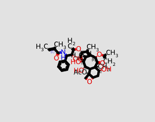 C=C(C)O[C@H]1C(=O)[C@@]2(C)C([C@H](O)[C@]3(O)C[C@H](OC(=C)C(O)C(NC(=O)/C(C)=C/C)c4ccccc4)C(C)=C1C3(C)C)[C@]1(OC(C)=O)COC1C[C@@H]2O